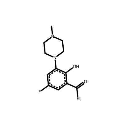 CCC(=O)c1cc(F)cc(N2CCN(C)CC2)c1O